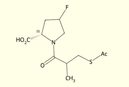 CC(=O)SCC(C)C(=O)N1CC(F)C[C@H]1C(=O)O